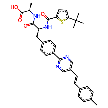 Cc1ccc(/C=C/c2cnc(-c3ccc(C[C@H](NC(=O)c4ccc(C(C)(C)C)s4)C(=O)N[C@H](C)C(=O)O)cc3)nc2)cc1